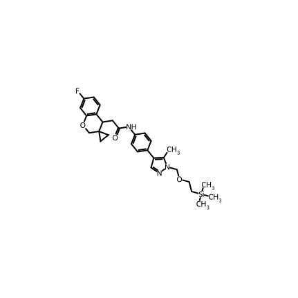 Cc1c(-c2ccc(NC(=O)CC3c4ccc(F)cc4OCC34CC4)cc2)cnn1COCC[Si](C)(C)C